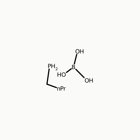 CCCCP.OB(O)O